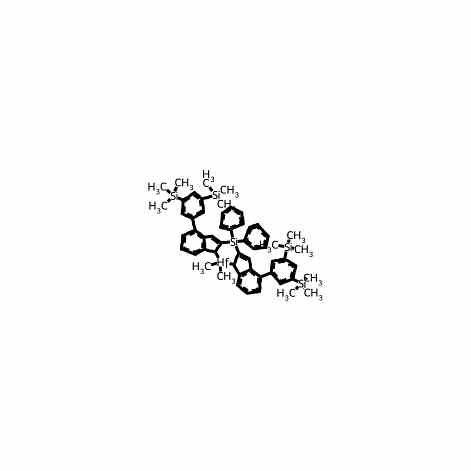 C[Si](C)(C)c1cc(-c2cccc3c2C=C2[CH]3[Hf]([CH3])([CH3])[CH]3C(=Cc4c(-c5cc([Si](C)(C)C)cc([Si](C)(C)C)c5)cccc43)[Si]2(c2ccccc2)c2ccccc2)cc([Si](C)(C)C)c1